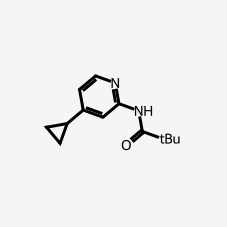 CC(C)(C)C(=O)Nc1cc(C2CC2)ccn1